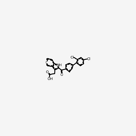 O=C(O)Cc1c(C(=O)c2ccc(-c3ccc(Cl)cc3Cl)cc2)[nH]c2ccccc12